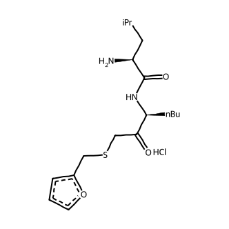 CCCC[C@H](NC(=O)[C@@H](N)CC(C)C)C(=O)CSCc1ccco1.Cl